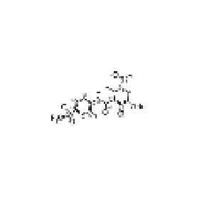 Cc1c([S+](C)[O-])cc(C(C)(C)C)c(O)c1C(=O)Nc1ccc(S(=O)(=O)C(F)(F)F)cc1Cl